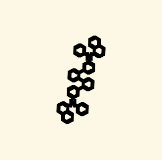 c1ccc(N(c2cccc(-c3ccccc3-c3ccccc3-c3cccc(N(c4ccccc4)c4cccc5ccccc45)c3)c2)c2cccc3ccccc23)cc1